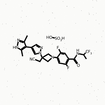 Cc1n[nH]c(C)c1-c1cnn(C2(CC#N)CN(c3cc(F)c(C(=O)NC(C)C(F)(F)F)cc3F)C2)c1.O=S(=O)(O)O